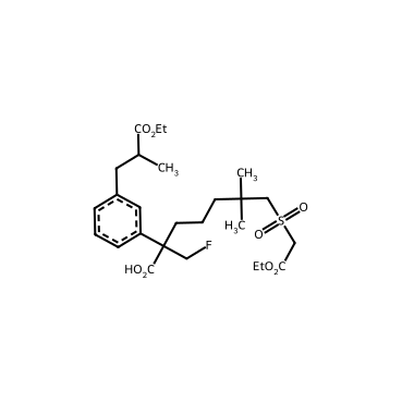 CCOC(=O)CS(=O)(=O)CC(C)(C)CCCC(CF)(C(=O)O)c1cccc(CC(C)C(=O)OCC)c1